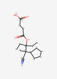 CCC(CC)(OC(=O)CCC(=O)O)C(C)(C#N)C1CCCC1